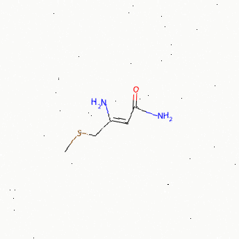 CSCC(N)=CC(N)=O